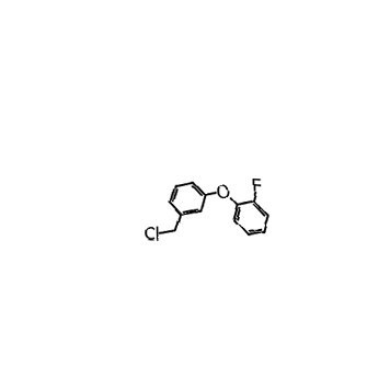 Fc1ccccc1Oc1cccc(CCl)c1